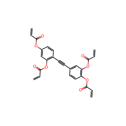 C=CC(=O)Oc1ccc(C#Cc2ccc(OC(=O)C=C)c(OC(=O)C=C)c2)c(OC(=O)C=C)c1